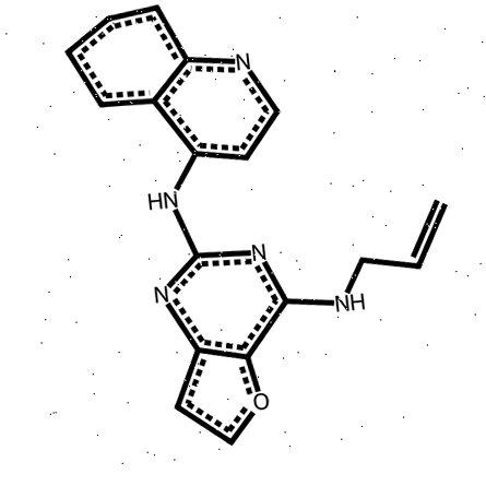 C=CCNc1nc(Nc2ccnc3ccccc23)nc2ccoc12